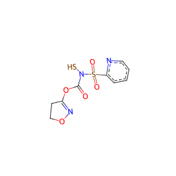 O=C(OC1=NOCC1)N(S)S(=O)(=O)c1ccccn1